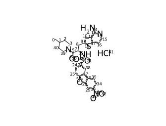 CC1CCN(C(=O)C(Cc2cc3c(N)nccc3s2)NS(=O)(=O)c2ccc3oc4cc([N+](=O)[O-])ccc4c3c2)CC1.Cl